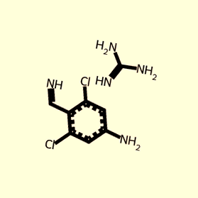 N=C(N)N.N=Cc1c(Cl)cc(N)cc1Cl